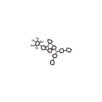 [2H]c1c([2H])c([2H])c(-c2ccc3c4ccccc4n(-c4ccccc4-c4ccc(N(c5ccc(-c6ccccc6)cc5)c5ccc(-c6ccccc6)cc5)cc4)c3c2)c([2H])c1[2H]